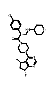 C[C@@H]1C[C@@H](F)c2ncnc(N3CCN(C(=O)[C@H](CNC4CCOCC4)c4ccc(Cl)cc4)CC3)c21